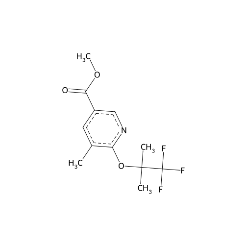 COC(=O)c1cnc(OC(C)(C)C(F)(F)F)c(C)c1